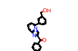 O=C(c1ccccc1)c1cn2c(-c3cccc(CO)c3)cccc2n1